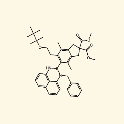 COC(=O)C1(C(=O)OC)Cc2c(C)c(CCO[Si](C)(C)C(C)(C)C)c(B3Nc4cccc5cccc(c45)N3Cc3ccccc3)c(C)c2C1